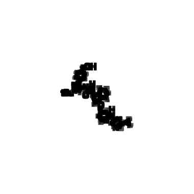 CC(C)(C)c1cc(NC(=O)Nc2ccc(OCc3ccnc(Nc4cncc(C5CC5)n4)c3)c3ccccc23)n(-c2ccc(CO)cc2)n1